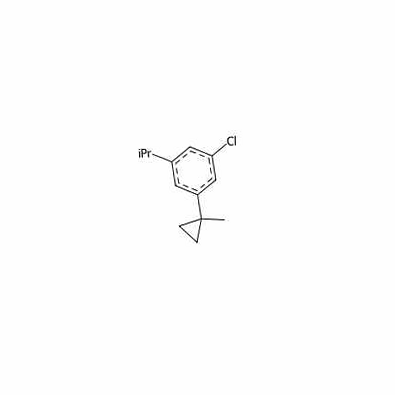 CC(C)c1cc(Cl)cc(C2(C)CC2)c1